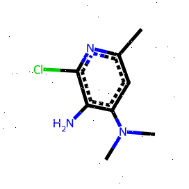 Cc1cc(N(C)C)c(N)c(Cl)n1